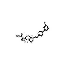 NN(C(=O)O)C1CC[C@H]2C(C=Cc3ccc(-c4cccc(F)c4)cn3)CC[C@@H]2C1